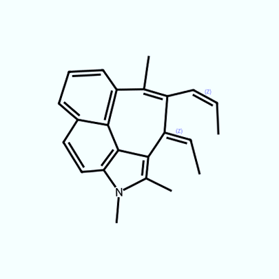 C/C=C\C1=C(C)c2cccc3ccc4c(c(c(C)n4C)/C1=C\C)c23